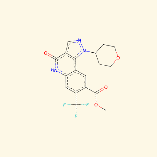 COC(=O)c1cc2c(cc1C(F)(F)F)[nH]c(=O)c1cnn(C3CCOCC3)c12